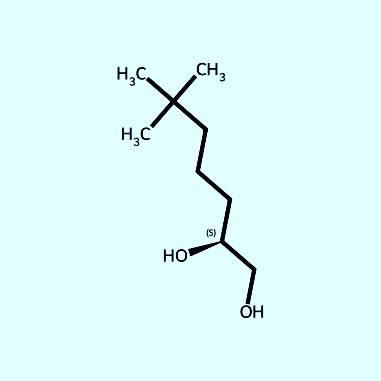 CC(C)(C)CCC[C@H](O)CO